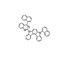 c1ccc2c(-c3nc(-n4c5ccccc5c5c6c7ccccc7n(-c7cccc8ccccc78)c6ccc54)nc4ccccc34)cccc2c1